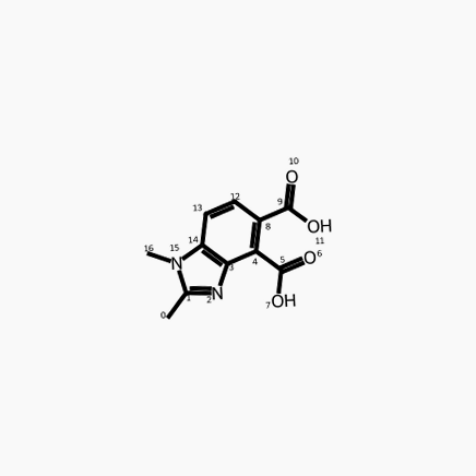 Cc1nc2c(C(=O)O)c(C(=O)O)ccc2n1C